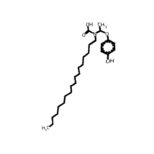 [CH2]C(Oc1ccc(O)cc1)N(CCCCCCCCCCCCCCCCCC)C(=O)O